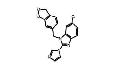 Clc1ccc2nc(-n3ccnc3)n(Cc3ccc4c(c3)OOC4)c2c1